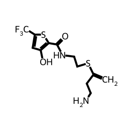 C=C(CCN)SCCNC(=O)c1sc(C(F)(F)F)cc1O